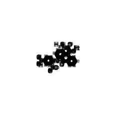 CCOc1c2c3c(c(Nc4ccc([SH](=O)=O)cc4[SH](=O)=O)ccc3n(C)c1=O)C(=O)c1ccccc1-2